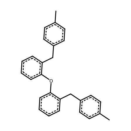 Cc1ccc(Cc2ccccc2Oc2ccccc2Cc2ccc(C)cc2)cc1